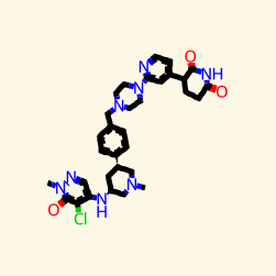 CN1C[C@H](Nc2cnn(C)c(=O)c2Cl)C[C@H](c2ccc(CN3CCN(c4cc(C5CCC(=O)NC5=O)ccn4)CC3)cc2)C1